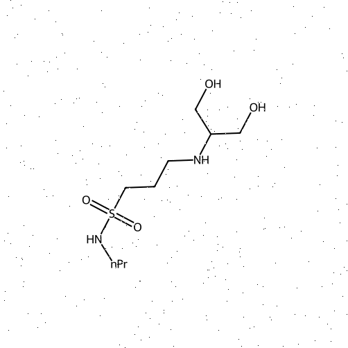 CCCNS(=O)(=O)CCCNC(CO)CO